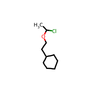 CC(Cl)OCCC1CCCCC1